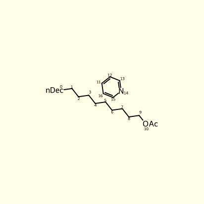 CCCCCCCCCCCCCCCCCCCOC(C)=O.c1ccncc1